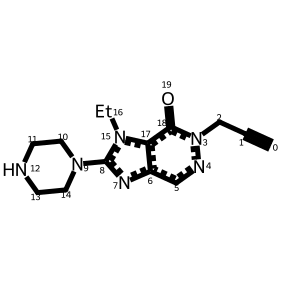 C#CCn1ncc2nc(N3CCNCC3)n(CC)c2c1=O